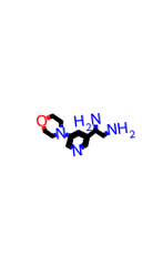 NCC(N)c1cncc(N2CCOCC2)c1